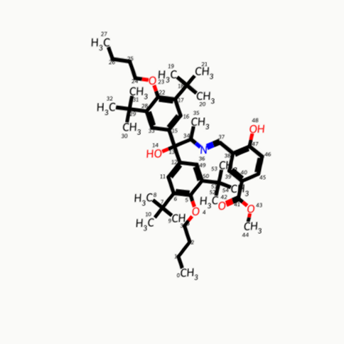 CCCCOc1c(C(C)(C)C)cc(C(O)(c2cc(C(C)(C)C)c(OCCCC)c(C(C)(C)C)c2)C(C)N=Cc2cc(C(=O)OC)ccc2O)cc1C(C)(C)C